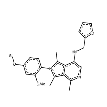 CCOc1ccc(-n2c(C)c3c(C)nnc(NCc4ccco4)c3c2C)c(OC)c1